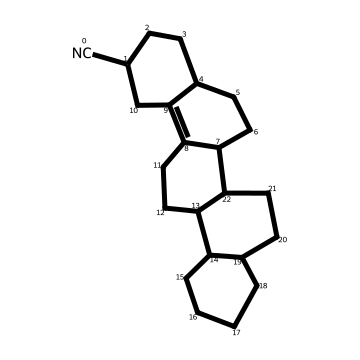 N#CC1CCC2CCC3C(=C2C1)CCC1C2CCCCC2CCC31